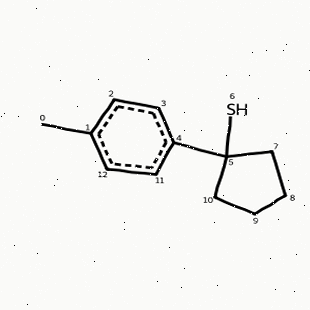 Cc1ccc(C2(S)CCCC2)cc1